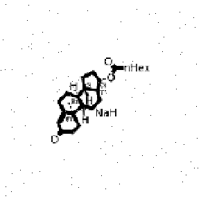 CCCCCCC(=O)O[C@H]1CC[C@H]2[C@@H]3CCC4=CC(=O)CC[C@]4(C)[C@H]3CC[C@]12C.[NaH]